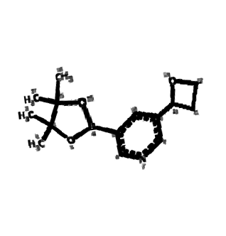 CC1(C)OB(c2cncc(C3CCO3)c2)OC1(C)C